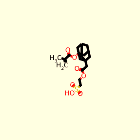 C=C(C)C(=O)OC12CC3CC(CC(CC(=O)OCCS(=O)(=O)O)(C3)C1)C2